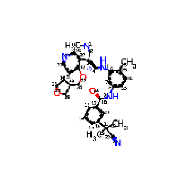 C/N=C\C(=C/Nc1cc(NC(=O)c2cccc(C(C)(C)C#N)c2)ccc1C)c1cnccc1OCC1CCOC1